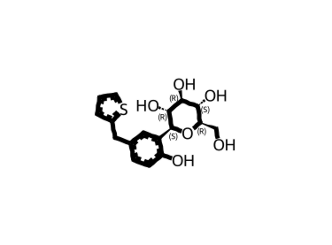 OC[C@H]1O[C@@H](c2cc(Cc3cccs3)ccc2O)[C@H](O)[C@@H](O)[C@@H]1O